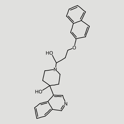 OC(CCOc1ccc2ccccc2c1)N1CCC(O)(c2cncc3ccccc23)CC1